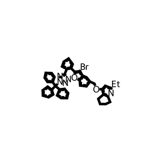 CCc1cc(OCc2ccc3oc(-c4ccccc4-c4nnn(C(c5ccccc5)(c5ccccc5)c5ccccc5)n4)c(Br)c3c2)c2c(n1)CCCC2